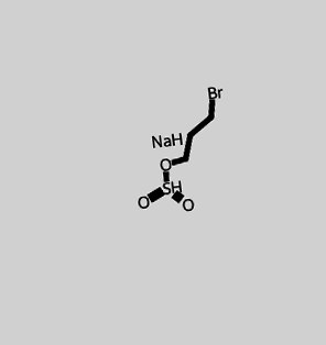 O=[SH](=O)OCCCBr.[NaH]